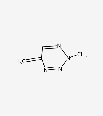 C=C1C=NN(C)N=N1